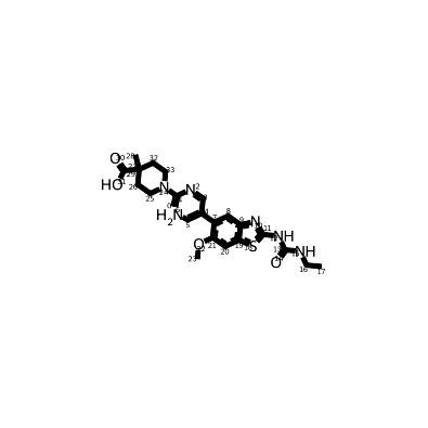 C=C(/N=C\C(=C/N)c1cc2nc(NC(=O)NCC)sc2cc1OC)N1CCC(C)(C(=O)O)CC1